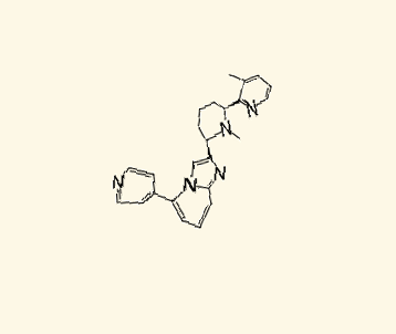 Cc1cccnc1[C@@H]1CCC[C@H](c2cn3c(-c4ccncc4)cccc3n2)N1C